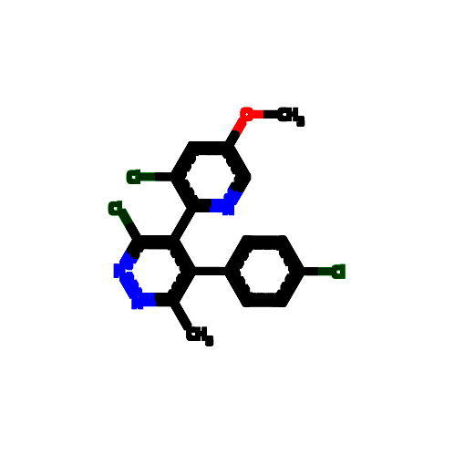 COc1cnc(-c2c(Cl)nnc(C)c2-c2ccc(Cl)cc2)c(Cl)c1